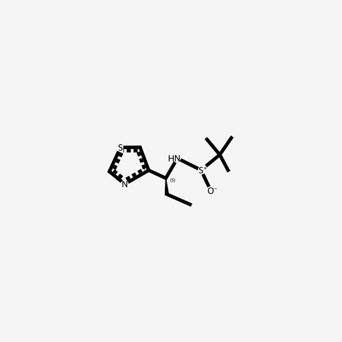 CC[C@H](N[S+]([O-])C(C)(C)C)c1cscn1